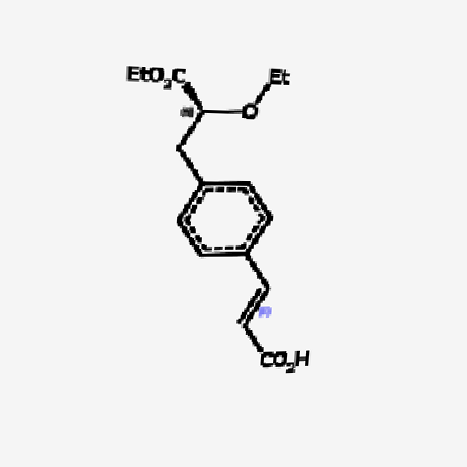 CCOC(=O)[C@H](Cc1ccc(/C=C/C(=O)O)cc1)OCC